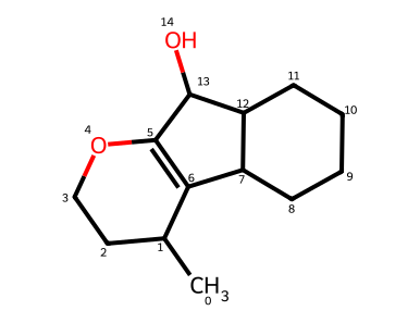 CC1CCOC2=C1C1CCCCC1C2O